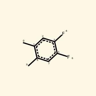 Cc1[c]c(F)c(F)[c]c1C